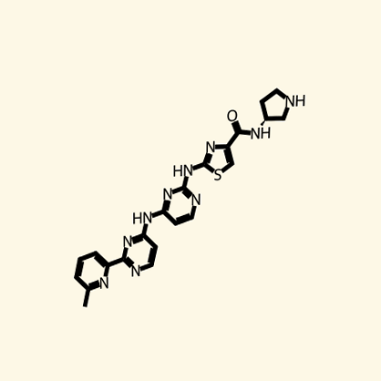 Cc1cccc(-c2nccc(Nc3ccnc(Nc4nc(C(=O)N[C@@H]5CCNC5)cs4)n3)n2)n1